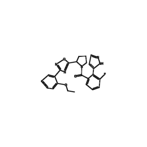 CCOc1ccccc1-c1noc(C2CCCN2C(=O)c2cccc(F)c2-c2ccn[nH]2)n1